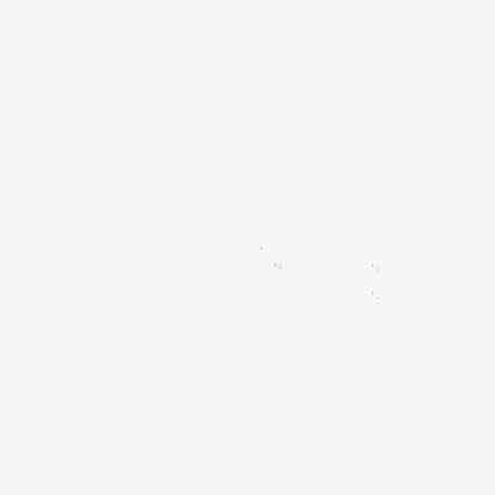 C[Si](C)(C)CCOCn1nc(-c2ccnnc2)cc1Br